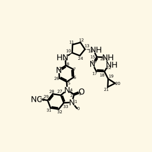 Cn1c(=O)n(-c2ccc(N[C@H]3CC[C@H](NC4=NC=C(C5CC5)NN4)C3)nc2)c2cc(C#N)ccc21